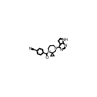 N#Cc1ccc(C(=O)N2CCCN(c3ncnc4[nH]ccc34)CC23CC3)cc1